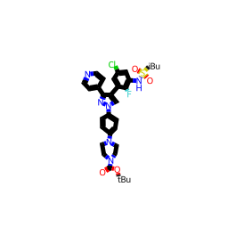 CCC(C)S(=O)(=O)Nc1cc(Cl)cc(-c2cn(-c3ccc(N4CCN(C(=O)OC(C)(C)C)CC4)cc3)nc2-c2ccncc2)c1F